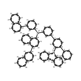 c1ccc(-c2ccc(-c3cccc(N(c4cccc(-c5cccc6ccccc56)c4)c4ccc(-c5ccc6ccccc6c5)c5ccccc45)c3)cc2-n2c3ccccc3c3ccccc32)cc1